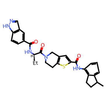 CC[C@@H](NC(=O)c1ccc2[nH]ncc2c1)C(=O)N1CCc2sc(C(=O)Nc3cccc4c3CCC4C)cc2C1